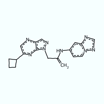 C=C(Cn1ncc2ncc(C3CCC3)nc21)Nc1ccn2ncnc2c1